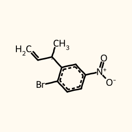 C=C[C](C)c1cc([N+](=O)[O-])ccc1Br